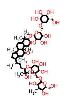 C[C@H]1[C@H](O)[C@@H](CO)OC(OC[C@H]2O[C@@H](O[C@H](CC[C@@H](C)C3CC[C@@]4(C)C5CC=C6C(CC[C@H](O[C@@H]7O[C@H](CO[C@@H]8C[C@H](CO)[C@@H](O)[C@H](O)[C@H]8O)[C@@H](O)[C@H](O)[C@H]7O)C6(C)C)[C@]5(C)C(=O)C[C@]34C)C(C)(C)O)[C@H](O)[C@@H](O)[C@@H]2O)[C@@H]1O